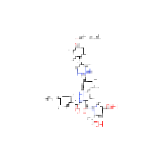 CCCCCCCOc1ccc(-c2cnc(-c3ccc(C[C@H](NC(=O)c4ccc(C(C)(C)C)cc4)C(=O)N4C[C@H](O)C[C@@H]4CO)cc3)nc2)cc1